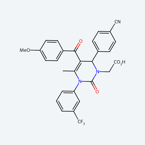 COc1ccc(C(=O)C2=C(C)N(c3cccc(C(F)(F)F)c3)C(=O)N(CC(=O)O)C2c2ccc(C#N)cc2)cc1